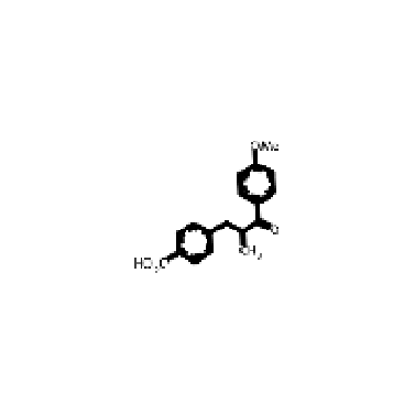 COc1ccc(C(=O)C(C)Cc2ccc(C(=O)O)cc2)cc1